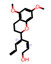 C=C/C=C(\C=C/CO)C1CCc2c(OC)cc(OC)cc2O1